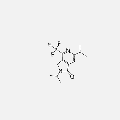 CC(C)c1cc2c(c(C(F)(F)F)n1)CN(C(C)C)C2=O